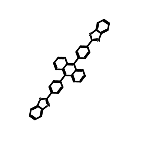 c1ccc2sc(-c3ccc(-c4c5ccccc5c(-c5ccc(-c6nc7ccccc7s6)cc5)c5ccccc45)cc3)nc2c1